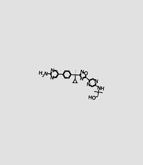 CC(C)(CO)Nc1cnc(-c2nc([C@](C)(c3ccc(-c4cnc(N)nc4)cc3)C3CC3)no2)cn1